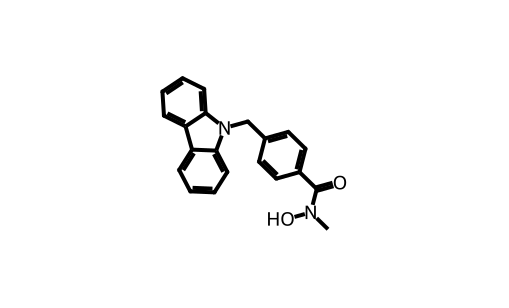 CN(O)C(=O)c1ccc(Cn2c3ccccc3c3ccccc32)cc1